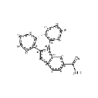 O=C(O)c1ccc2cc(-c3ccccc3)n(-c3ccccc3)c2c1